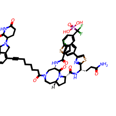 NC(=O)CC[C@H](NC(=O)[C@@H]1CC[C@@H]2CCN(C(=O)CCCCCC#Cc3cccc4c3CN(C3CCC(=O)NC3=O)C4=O)C[C@H](NC(=O)c3cc4cc(C(F)(F)P(=O)(O)O)ccc4s3)C(=O)N21)c1nc(-c2ccc(F)cc2)cs1